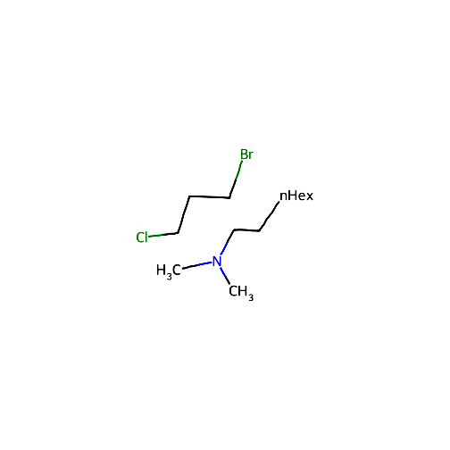 CCCCCCCCN(C)C.ClCCCBr